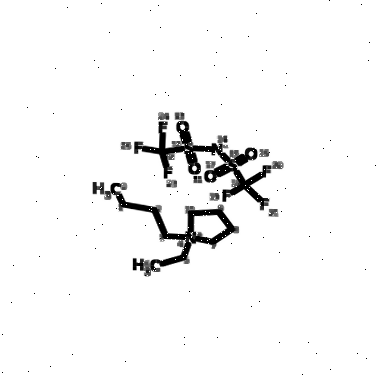 CCCC[N+]1(CC)CCCC1.O=S(=O)([N-]S(=O)(=O)C(F)(F)F)C(F)(F)F